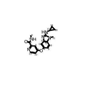 CNC(=O)c1cc(Oc2ccc3c(c2)nc(NC2CC2)n3C)ccn1